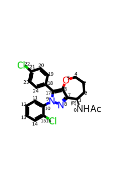 CC(=O)N[C@@H]1CCCOc2c1nn(-c1ccccc1Cl)c2-c1ccc(Cl)cc1